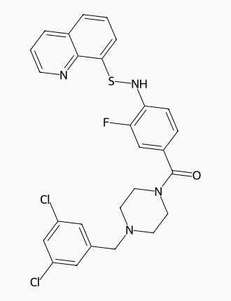 O=C(c1ccc(NSc2cccc3cccnc23)c(F)c1)N1CCN(Cc2cc(Cl)cc(Cl)c2)CC1